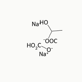 CC(O)C(=O)[O-].O=C([O-])O.[Na+].[Na+]